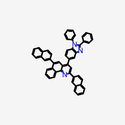 c1ccc(-c2nc3cc(-c4cc(-c5ccc6ccccc6c5)nc5c4cc(-c4ccc6ccccc6c4)c4ccccc45)ccc3n2-c2ccccc2)cc1